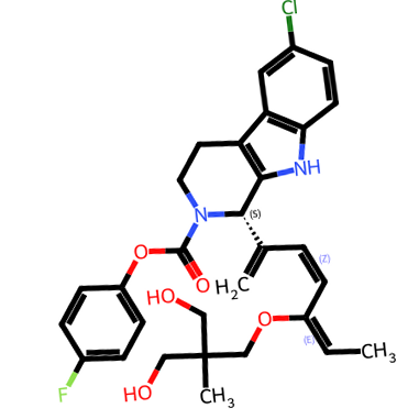 C=C(/C=C\C(=C/C)OCC(C)(CO)CO)[C@H]1c2[nH]c3ccc(Cl)cc3c2CCN1C(=O)Oc1ccc(F)cc1